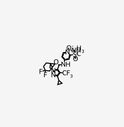 CS(=N)(=O)c1cc(NC(=O)c2c(C(F)(F)F)c(C3CC3)nn2CC23CCC(F)(F)CC2C3)cc[n+]1[O-]